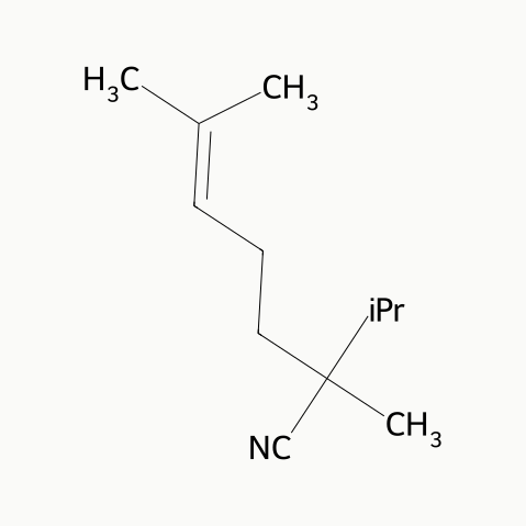 CC(C)=CCCC(C)(C#N)C(C)C